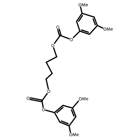 COc1cc(OC)cc(OC(=O)OCCCCOC(=O)Oc2cc(OC)cc(OC)c2)c1